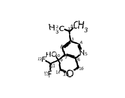 CC(C)c1cnc2c(c1)C(O)(C(F)F)COC2